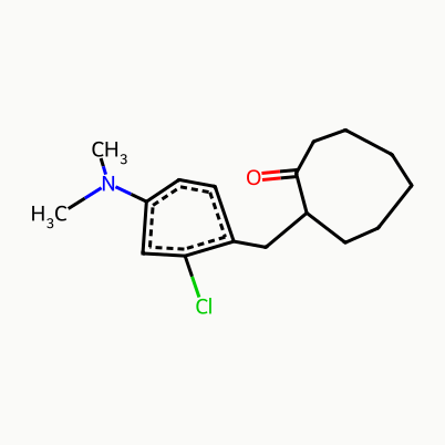 CN(C)c1ccc(CC2CCCCCCC2=O)c(Cl)c1